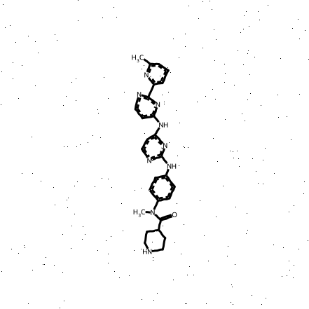 Cc1cccc(-c2nccc(Nc3ccnc(Nc4ccc(N(C)C(=O)C5CCNCC5)cc4)n3)n2)n1